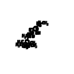 CO[C@@]1(N=Cc2cc(C(C)(C)C)c(O)c(C(C)(C)C)c2)C(=O)N2C(C(=O)O)=C(CSc3nnc(C)s3)CSC21